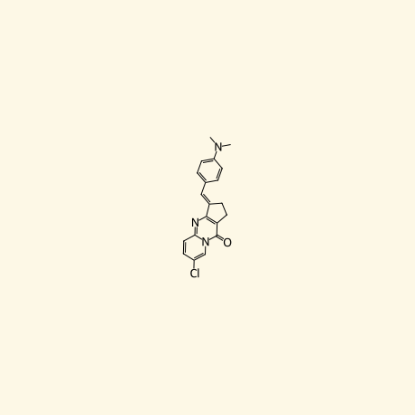 CN(C)c1ccc(C=C2CCc3c2nc2ccc(Cl)cn2c3=O)cc1